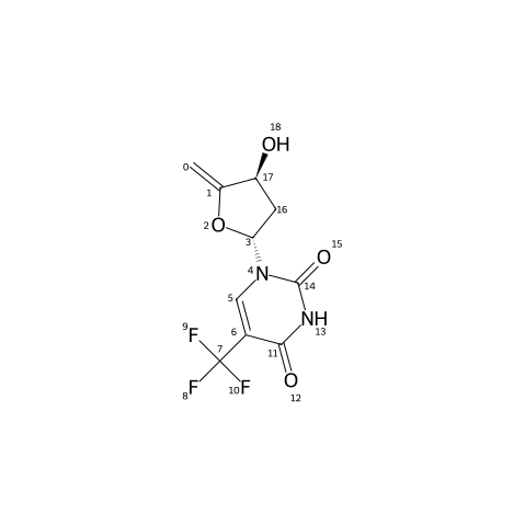 C=C1O[C@@H](n2cc(C(F)(F)F)c(=O)[nH]c2=O)C[C@@H]1O